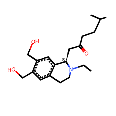 CCN1CCc2cc(CO)c(CO)cc2[C@H]1CC(=O)CCC(C)C